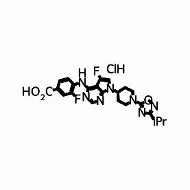 CC(C)c1noc(N2CCC(n3cc(F)c4c(Nc5ccc(C(=O)O)cc5F)ncnc43)CC2)n1.Cl